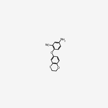 N#Cc1cc(N)ccc1Oc1ccc2c(c1)SCCO2